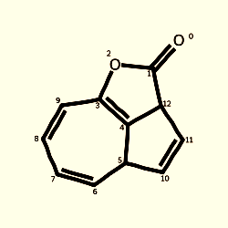 O=C1OC2=C3C(C=CC=C2)C=CC13